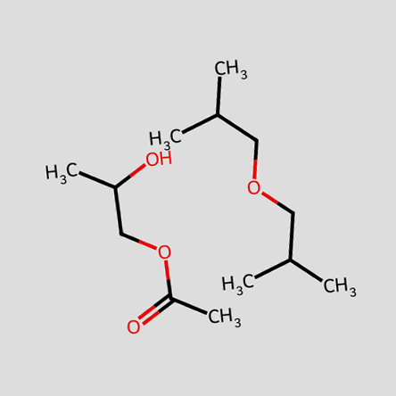 CC(=O)OCC(C)O.CC(C)COCC(C)C